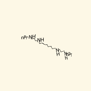 CCCNCCCNCCCCCCCCNCCCNCCC